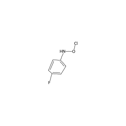 Fc1ccc(NOCl)cc1